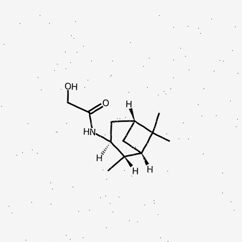 C[C@@H]1[C@@H](NC(=O)CO)C[C@H]2C[C@@H]1C2(C)C